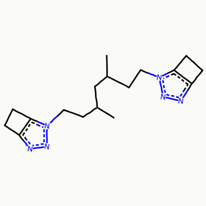 CC(CCn1nnc2c1CC2)CC(C)CCn1nnc2c1CC2